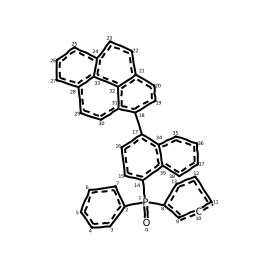 O=P(c1ccccc1)(c1ccccc1)c1ccc(-c2ccc3ccc4cccc5ccc2c3c45)c2ccccc12